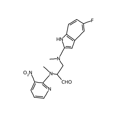 CN(CC(C=O)N(C)c1ncccc1[N+](=O)[O-])c1cc2cc(F)ccc2[nH]1